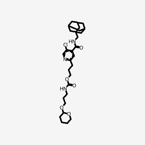 O=C(NCCCOC1CCCCO1)OCCCc1cc(C(=O)NCC23CC4CC(CC(C4)C2)C3)c(Cl)cn1